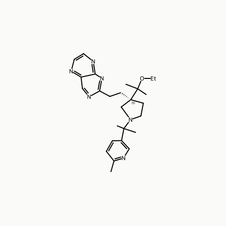 CCOC(C)(C)[C@@]1(CCc2ncc3nccnc3n2)CCN(C(C)(C)c2ccc(C)nc2)C1